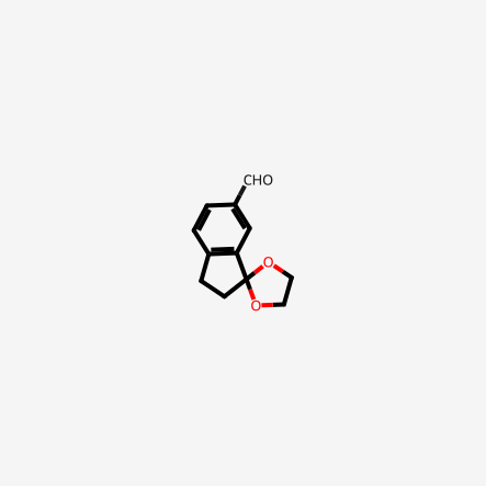 O=Cc1ccc2c(c1)C1(CC2)OCCO1